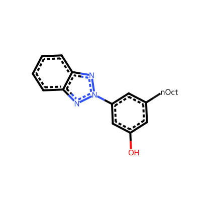 CCCCCCCCc1cc(O)cc(-n2nc3ccccc3n2)c1